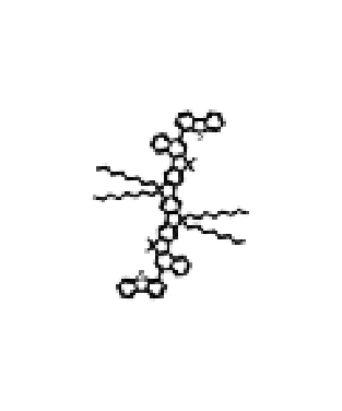 CCCCCCCCC1(CCCCCCCC)c2cc3c(cc2-c2cc4c(cc21)-c1cc2c(cc1C4(CCCCCCCC)CCCCCCCC)-c1c(cc(-c4cccc5c4sc4ccccc45)c4ccccc14)C2(C)C)C(C)(C)c1cc(C2=CC=CC4c5ccccc5SC24)c2ccccc2c1-3